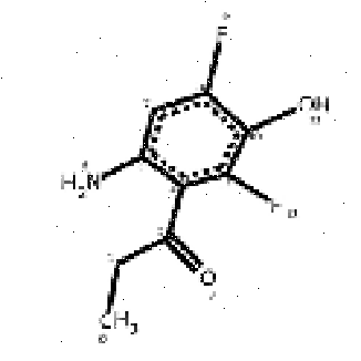 CCC(=O)c1c(N)cc(F)c(O)c1F